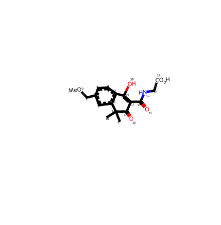 COCc1ccc2c(c1)C(C)(C)C(=O)C(C(=O)NCC(=O)O)=C2O